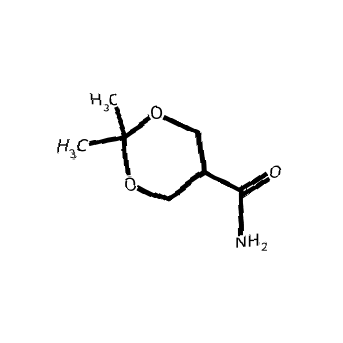 CC1(C)OCC(C(N)=O)CO1